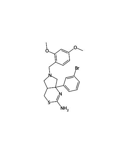 COc1ccc(CN2CC3CSC(N)=NC3(c3cccc(Br)c3)C2)c(OC)c1